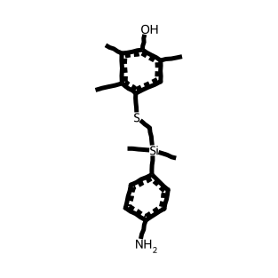 Cc1cc(SC[Si](C)(C)c2ccc(N)cc2)c(C)c(C)c1O